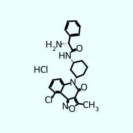 Cc1onc2c1c(=O)n([C@H]1CCC[C@@H](NC(=O)[C@H](N)c3ccccc3)C1)c1cccc(Cl)c21.Cl